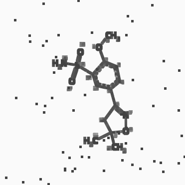 COc1ccc(C2=NOC(C)(C)C2)cc1S(N)(=O)=O